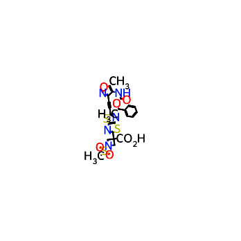 Cc1onc(C#Cc2nc3sc(C4(C(=O)O)CN(S(C)(=O)=O)C4)nc3s2)c1NC(=O)OC(C)c1ccccc1